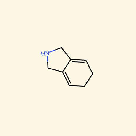 C1=C2CNCC2=CCC1